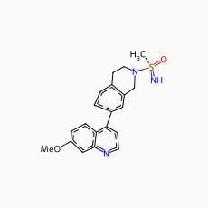 COc1ccc2c(-c3ccc4c(c3)CN(S(C)(=N)=O)CC4)ccnc2c1